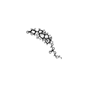 CCOC(=O)OCO[C@H]1CC[C@@]2(C)[C@H](CC[C@H]3C4=CC[C@H](c5ccc(=O)oc5)[C@@]4(C)CC[C@@H]32)C1